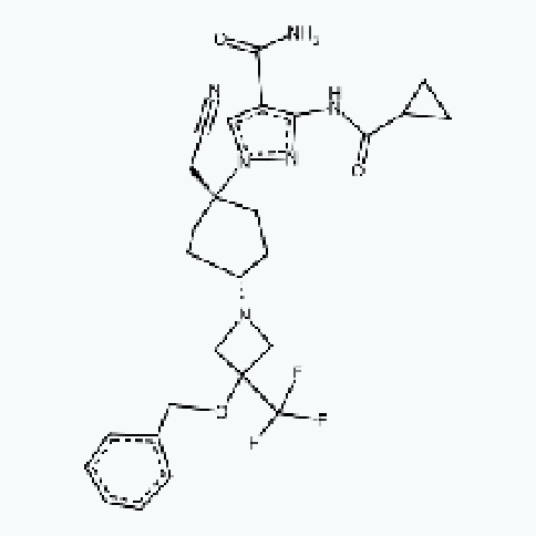 N#CC[C@]1(n2cc(C(N)=O)c(NC(=O)C3CC3)n2)CC[C@@H](N2CC(OCc3ccccc3)(C(F)(F)F)C2)CC1